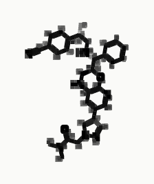 C[C@H](CN[C@H](c1ccccc1)[C@@H]1CNc2cc(-c3cnn(CC(=O)N(C)C)c3)cnc2O1)c1ccc(C#N)cc1